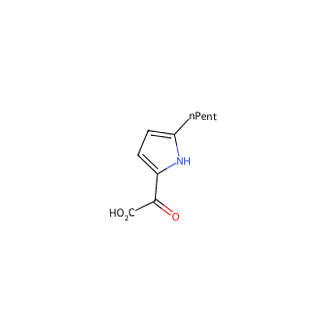 CCCCCc1ccc(C(=O)C(=O)O)[nH]1